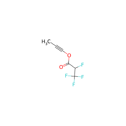 CC#COC(=O)C(F)C(F)(F)F